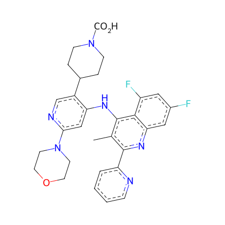 Cc1c(-c2ccccn2)nc2cc(F)cc(F)c2c1Nc1cc(N2CCOCC2)ncc1C1CCN(C(=O)O)CC1